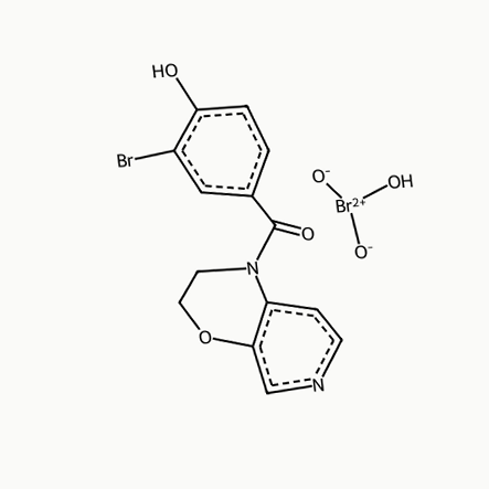 O=C(c1ccc(O)c(Br)c1)N1CCOc2cnccc21.[O-][Br+2]([O-])O